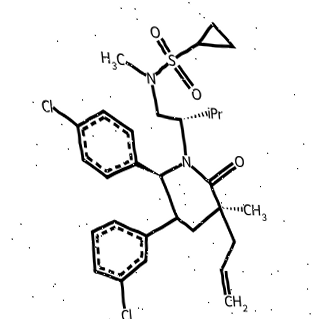 C=CC[C@@]1(C)CC(c2cccc(Cl)c2)[C@@H](c2ccc(Cl)cc2)N([C@H](CN(C)S(=O)(=O)C2CC2)C(C)C)C1=O